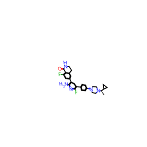 C[C@H](C1CC1)N1CCN(c2ccc(-c3cc(-c4cc(F)c5c(c4)CCNC5=O)c(N)nc3F)cc2)CC1